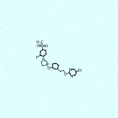 CCc1cnc(OCCc2cccc(O[C@H]3CCN(c4ccc(S(C)(=O)=O)cc4F)C3)c2)nc1